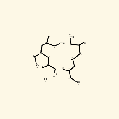 CC(C)[CH2][Al]([CH2]C(C)CC(C)(C)C)[CH2]C(C)CC(C)(C)C.CC([CH2][Al][CH2]C(C)CC(C)(C)C)CC(C)(C)C.[HH]